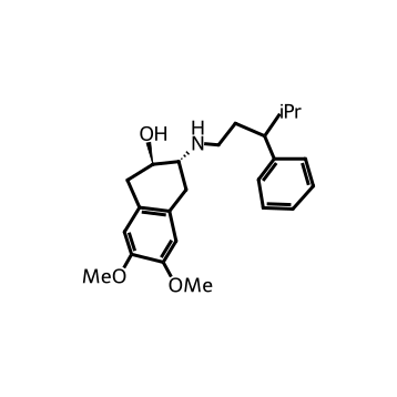 COc1cc2c(cc1OC)C[C@@H](NCCC(c1ccccc1)C(C)C)[C@H](O)C2